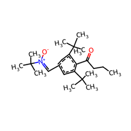 CCCC(=O)c1c(C(C)(C)C)cc(C=[N+]([O-])C(C)(C)C)cc1C(C)(C)C